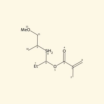 C=C(C)C(=O)OC(CC)[SiH2]C(C)COC